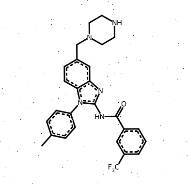 Cc1ccc(-n2c(NC(=O)c3cccc(C(F)(F)F)c3)nc3cc(CN4CCNCC4)ccc32)cc1